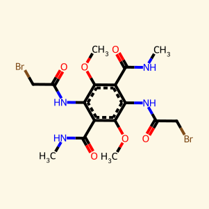 CNC(=O)c1c(NC(=O)CBr)c(OC)c(C(=O)NC)c(NC(=O)CBr)c1OC